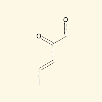 CC=CC(=O)C=O